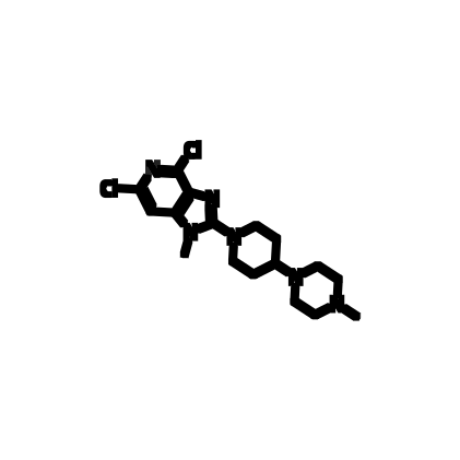 CN1CCN(C2CCN(c3nc4c(Cl)nc(Cl)cc4n3C)CC2)CC1